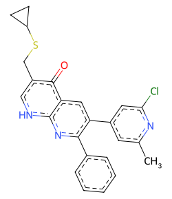 Cc1cc(-c2cc3c(=O)c(CSC4CC4)c[nH]c3nc2-c2ccccc2)cc(Cl)n1